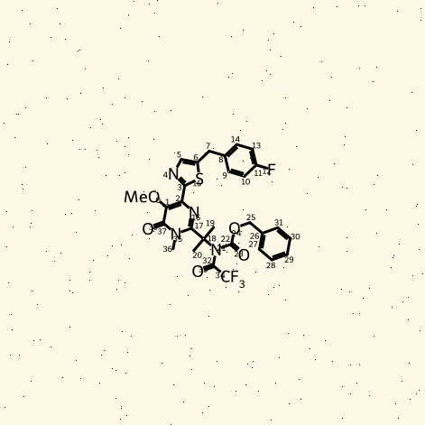 COc1c(-c2ncc(Cc3ccc(F)cc3)s2)nc(C(C)(C)N(C(=O)OCc2ccccc2)C(=O)C(F)(F)F)n(C)c1=O